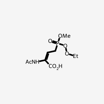 CCOOP(=O)(CC=C(NC(C)=O)C(=O)O)OC